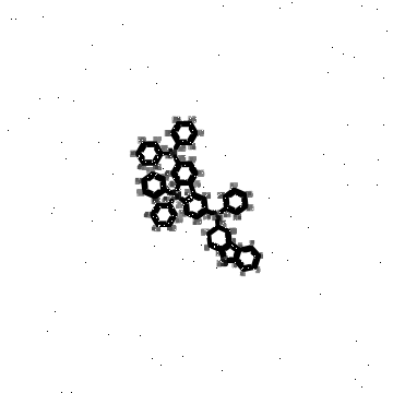 C1=c2sc3ccccc3c2=CC(N(c2ccccc2)c2ccc3c(c2)-c2ccc(N(c4ccccc4)c4ccccc4)cc2[Si]3(c2ccccc2)c2ccccc2)C1